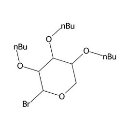 CCCCOC1COC(Br)C(OCCCC)C1OCCCC